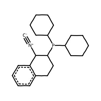 [C-]#[N+]C1c2ccccc2CCC1P(C1CCCCC1)C1CCCCC1